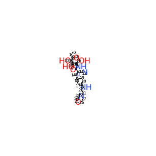 CC[C@H]1OC(O)[C@H](NC(=O)/C(C#N)=C(\C)c2ccc(NCCN3CCOCC3)cc2)[C@@H](O)[C@@H]1O